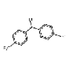 CC[C](c1ccc(C(C)C)cc1)c1ccc(C(F)(F)F)cc1